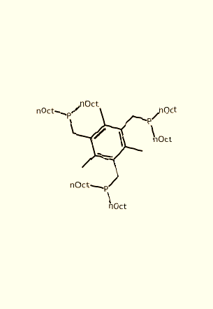 CCCCCCCCP(CCCCCCCC)Cc1c(C)c(CP(CCCCCCCC)CCCCCCCC)c(C)c(CP(CCCCCCCC)CCCCCCCC)c1C